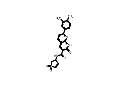 Cc1ccc(-c2ccc3cc(C(=O)NC4C=CS(=O)(=O)C4)c(=O)[nH]c3n2)cc1C